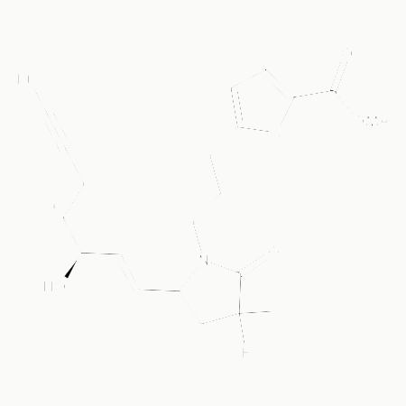 CCC#CC[C@@H](C)[C@H](O)C=CC1CC(F)(F)C(=O)N1CCCc1ccc(C(=O)OC)s1